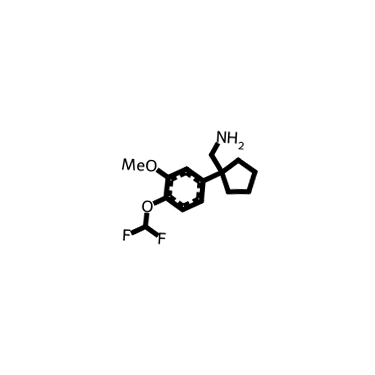 COc1cc(C2(CN)CCCC2)ccc1OC(F)F